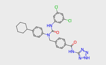 O=C(Nc1nn[nH]n1)c1ccc(CN(C(=O)Nc2cc(Cl)cc(Cl)c2)c2ccc(C3CCCCC3)cc2)cc1